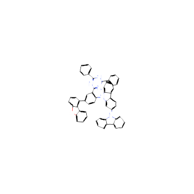 c1ccc(-c2nc(-c3ccccc3)nc(-c3cc(-c4cccc5oc6ccccc6c45)ccc3-n3c4ccccc4c4ccc(-n5c6ccccc6c6ccccc65)cc43)n2)cc1